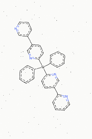 c1ccc([Si](c2ccccc2)(c2ccc(-c3cccnc3)cn2)c2ccc(-c3ccccn3)cn2)cc1